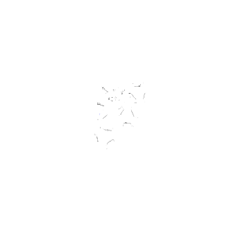 CCCCOc1cccc(/C=C/C(=O)N2C(=O)O[C@@H](c3ccccc3)[C@H]2c2ccccc2)c1